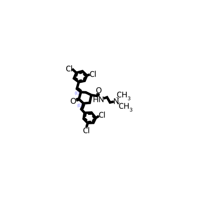 CN(C)CCNC(=O)C1C/C(=C\c2cc(Cl)cc(Cl)c2)C(=O)/C(=C/c2cc(Cl)cc(Cl)c2)C1